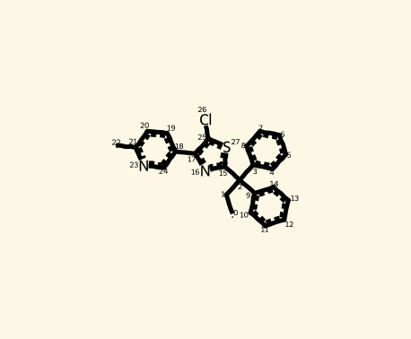 [CH2]CC(c1ccccc1)(c1ccccc1)c1nc(-c2ccc(C)nc2)c(Cl)s1